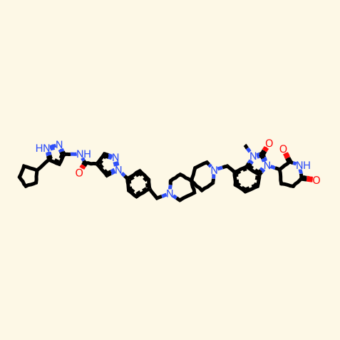 Cn1c(=O)n(C2CCC(=O)NC2=O)c2cccc(CN3CCC4(CCN(Cc5ccc(-n6cc(C(=O)Nc7cc(C8CCCC8)[nH]n7)cn6)cc5)CC4)CC3)c21